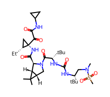 CC[C@@H]1C[C@@]1(NC(=O)[C@@H]1[C@@H]2[C@H](CN1C(=O)[C@@H](NC(=O)N[C@H](CN(C)S(C)(=O)=O)C(C)(C)C)C(C)(C)C)C2(C)C)C(=O)C(=O)NC1CC1